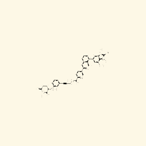 CC(C)c1cc(-c2cccc3cc(-c4ccc(C(=O)NCC#Cc5cccc(N[C@@H]6CCC(=O)NC6=O)c5)nc4)ncc23)cc2[nH]c(=O)n(C)c12